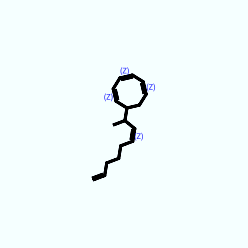 C=CCCC/C=C\C(C)C1\C=C/C=C\C=C/C1